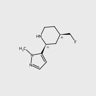 Cn1nccc1[C@@H]1C[C@H](CF)CCN1